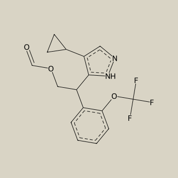 O=COCC(c1ccccc1OC(F)(F)F)c1[nH]ncc1C1CC1